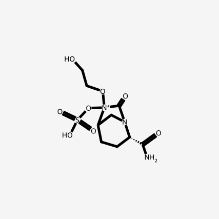 NC(=O)[C@@H]1CCC2CN1C(=O)[N+]2(OCCO)OS(=O)(=O)O